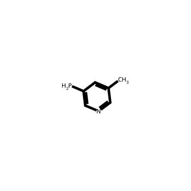 Cc1cncc(P)c1